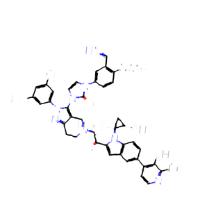 CCc1nccc(-c2ccc3c(c2)cc(C(=O)CN2CCc4nn(-c5cc(C)cc(C)c5)c(-n5ccn(-c6ccc(NC)c(C=N)c6)c5=O)c4C2)n3[C@@]2(C(=O)O)C[C@@H]2C)c1C